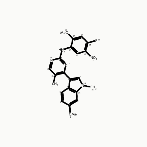 COc1ccc2c(-c3nc(Nc4cc([N+](=O)[O-])c(F)cc4OC)ncc3C)cn(C)c2c1